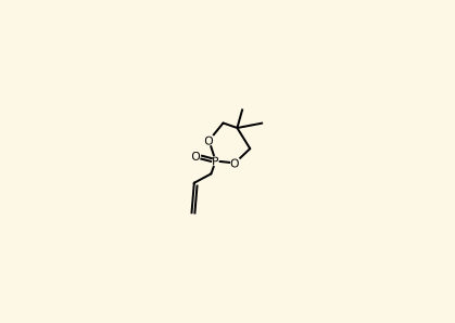 C=CCP1(=O)OCC(C)(C)CO1